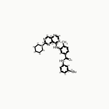 Cc1ccc(C(=O)Nc2cccc(C(C)(C)C)c2)cc1Nc1ncnc2cnc(N3CCCCC3)nc12